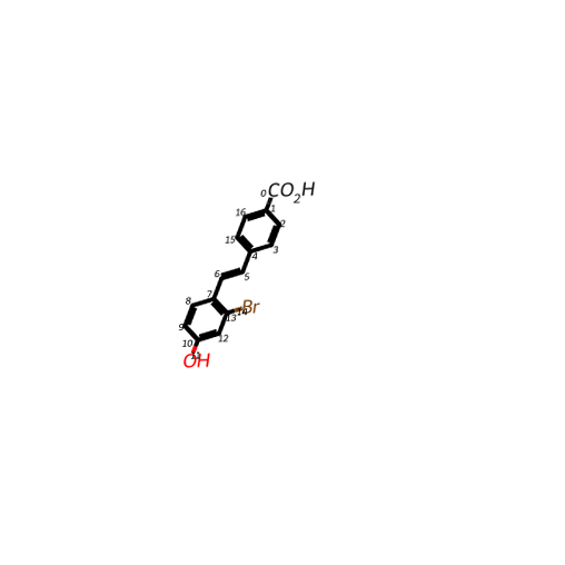 O=C(O)c1ccc(C=Cc2ccc(O)cc2Br)cc1